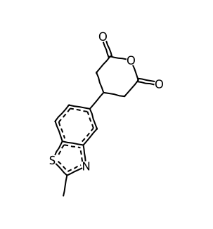 Cc1nc2cc(C3CC(=O)OC(=O)C3)ccc2s1